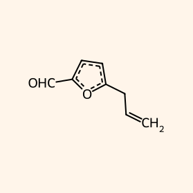 C=CCc1ccc(C=O)o1